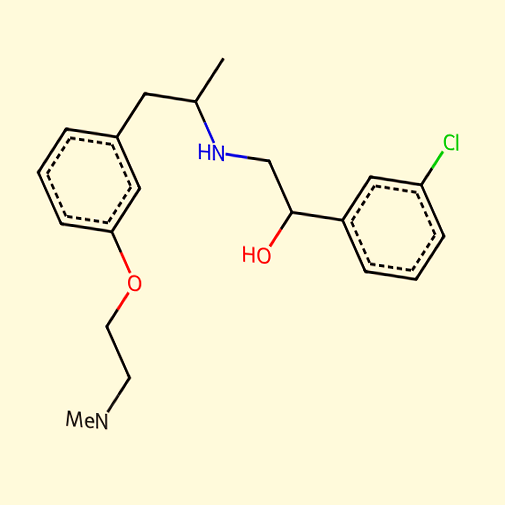 CNCCOc1cccc(CC(C)NCC(O)c2cccc(Cl)c2)c1